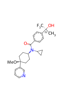 CO[C@]1(c2cccnc2)CC[C@H](N(C(=O)c2ccc([C@](C)(O)C(F)(F)F)cc2)C2CC2)CC1